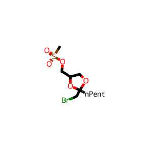 CCCCCC1(CBr)OCC(COS(C)(=O)=O)O1